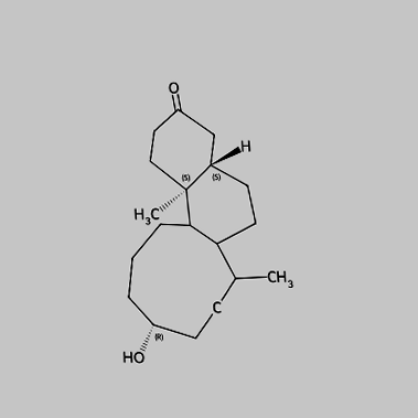 CC1CC[C@H](O)CCCC2C1CC[C@H]1CC(=O)CC[C@]21C